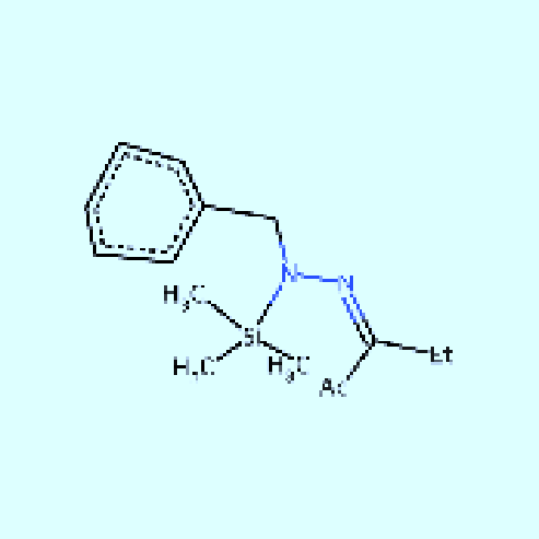 CCC(=NN(Cc1ccccc1)[Si](C)(C)C)C(C)=O